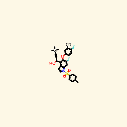 Cc1ccc(S(=O)(=O)n2ccc3c(C(O)C#C[Si](C)(C)C)c(Oc4ccc(F)c(C#N)c4)c(F)cc32)cc1